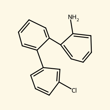 Nc1ccccc1-c1ccccc1-c1cccc(Cl)c1